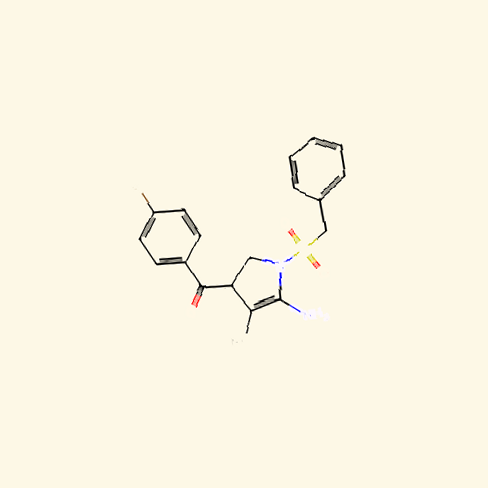 N#CC1=C(N)N(S(=O)(=O)Cc2ccccc2)CC1C(=O)c1ccc(Br)cc1